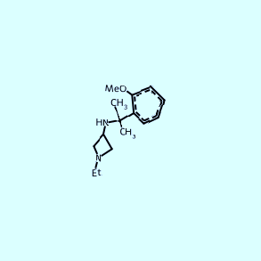 CCN1CC(NC(C)(C)c2ccccc2OC)C1